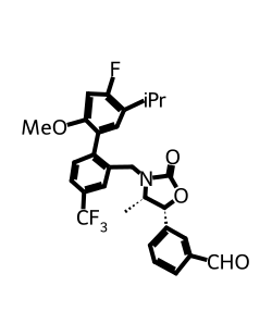 COc1cc(F)c(C(C)C)cc1-c1ccc(C(F)(F)F)cc1CN1C(=O)O[C@H](c2cccc(C=O)c2)[C@@H]1C